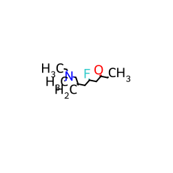 C=C(CC(F)CC(=O)CC)CN(C)CC